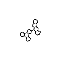 c1ccc2c(c1)sc1c(-c3ccc4c5ccccc5c5ccccc5c4c3)c3cccnc3cc12